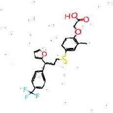 Cc1cc(SCC=C(c2ccc(C(F)(F)F)cc2)c2ccco2)ccc1OCC(=O)O